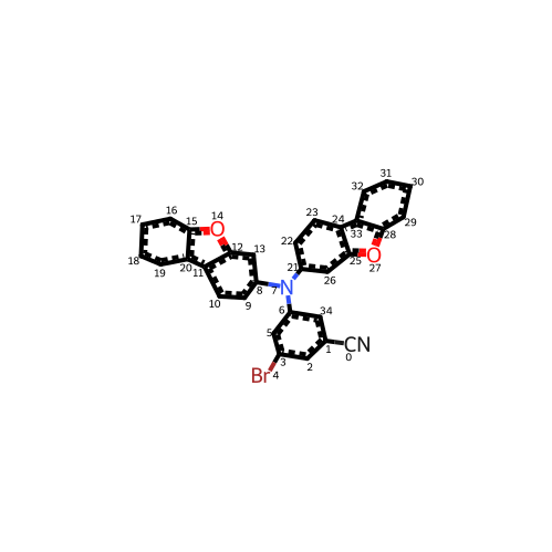 N#Cc1cc(Br)cc(N(c2ccc3c(c2)oc2ccccc23)c2ccc3c(c2)oc2ccccc23)c1